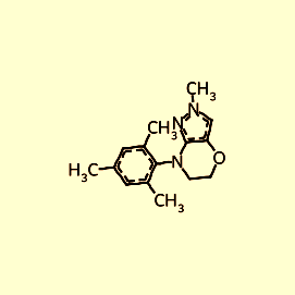 Cc1cc(C)c(N2CCOc3cn(C)nc32)c(C)c1